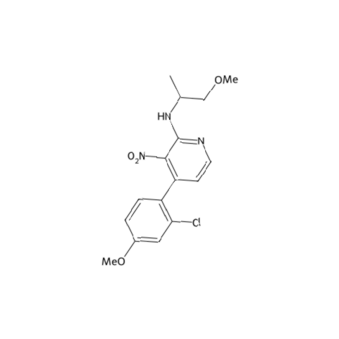 COCC(C)Nc1nccc(-c2ccc(OC)cc2Cl)c1[N+](=O)[O-]